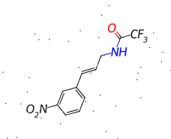 O=C(NCC=Cc1cccc([N+](=O)[O-])c1)C(F)(F)F